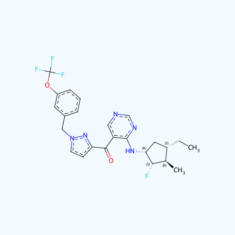 CC[C@H]1C[C@@H](Nc2ncncc2C(=O)c2ccn(Cc3cccc(OC(F)(F)F)c3)n2)[C@@H](F)[C@@H]1C